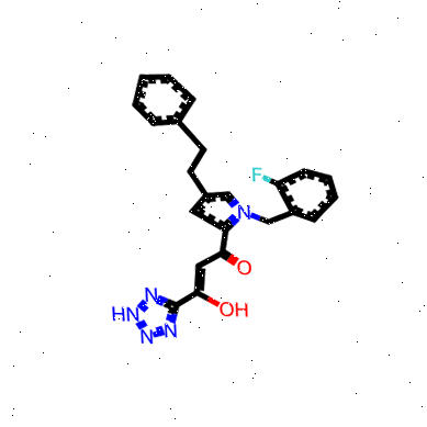 O=C(C=C(O)c1nn[nH]n1)c1cc(CCc2ccccc2)cn1Cc1ccccc1F